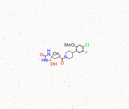 COc1cc(Cl)c(F)cc1C1CCN(C(=O)CC[C@@]2(C)NC(=O)NC2O)CC1